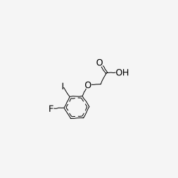 O=C(O)COc1cccc(F)c1I